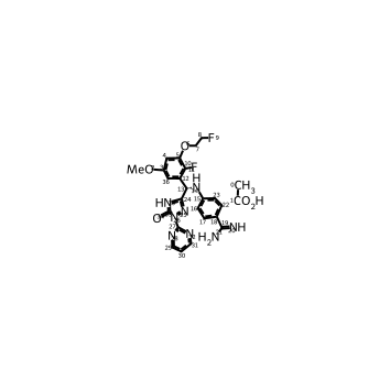 CC(=O)O.COc1cc(OCCF)c(F)c([C@H](Nc2ccc(C(=N)N)cc2)c2nn(-c3ncccn3)c(=O)[nH]2)c1